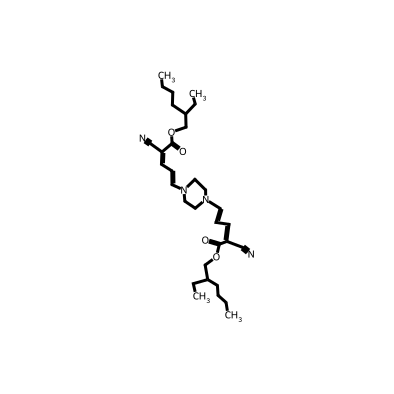 CCCCC(CC)COC(=O)/C(C#N)=C\C=C\N1CCN(/C=C/C=C(/C#N)C(=O)OCC(CC)CCCC)CC1